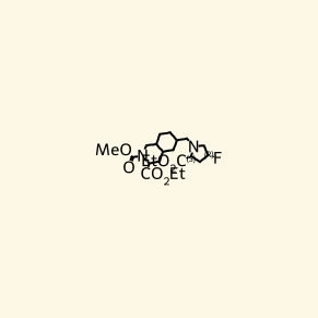 CCOC(=O)C1CC2CC(CN3C[C@H](F)C[C@H]3C(=O)OCC)CCC2CN1C(=O)OC